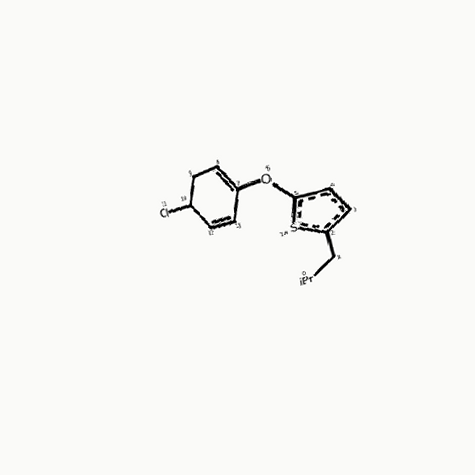 CC(C)Cc1ccc(OC2=CCC(Cl)C=C2)s1